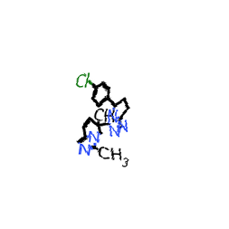 Cc1ncc2n1CC(C)(c1nnc3n1C(c1ccc(Cl)cc1)CC3)C=C2